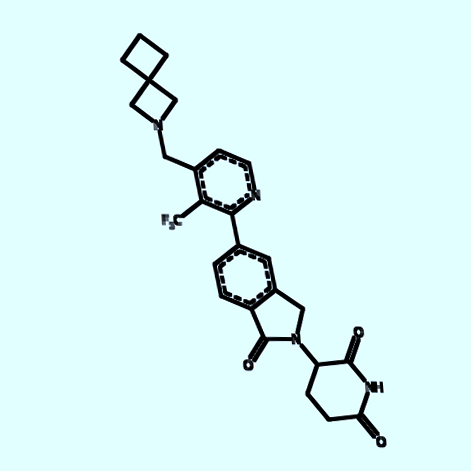 O=C1CCC(N2Cc3cc(-c4nccc(CN5CC6(CCC6)C5)c4C(F)(F)F)ccc3C2=O)C(=O)N1